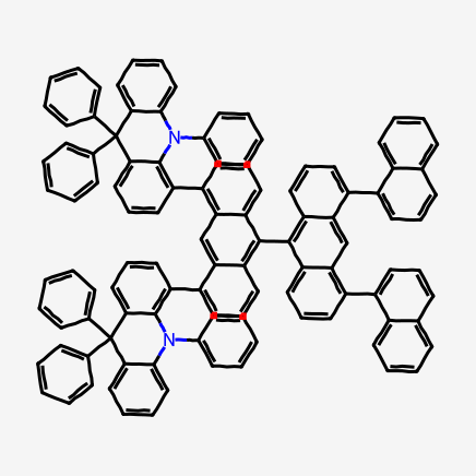 c1ccc(N2c3ccccc3C(c3ccccc3)(c3ccccc3)c3cccc(-c4cccc5c(-c6c7cccc(-c8cccc9ccccc89)c7cc7c(-c8cccc9ccccc89)cccc67)c6cccc(-c7cccc8c7N(c7ccccc7)c7ccccc7C8(c7ccccc7)c7ccccc7)c6cc45)c32)cc1